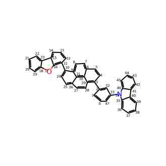 c1cc(-c2ccc3ccc4c(-c5cccc6c5oc5ccccc56)ccc5ccc2c3c54)cc(-n2c3ccccc3c3ccccc32)c1